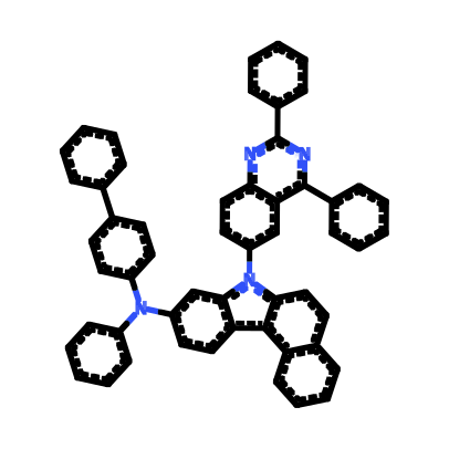 c1ccc(-c2ccc(N(c3ccccc3)c3ccc4c5c6ccccc6ccc5n(-c5ccc6nc(-c7ccccc7)nc(-c7ccccc7)c6c5)c4c3)cc2)cc1